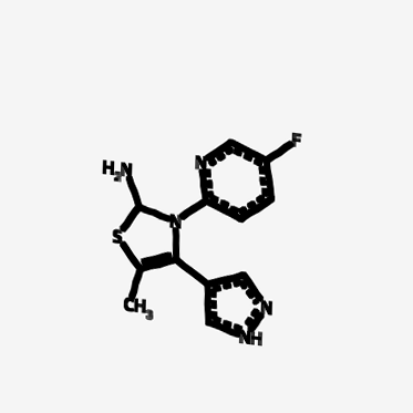 CC1=C(c2cn[nH]c2)N(c2ccc(F)cn2)C(N)S1